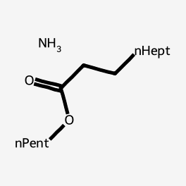 CCCCCCCCCC(=O)OCCCCC.N